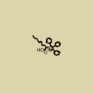 CCCC=CCCC(C(=O)O)n1nc(-c2ccccc2)c(-c2ccccc2)c1-c1ccccc1